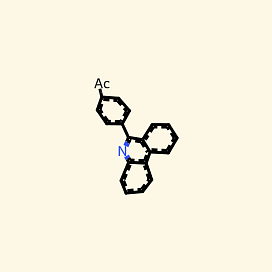 CC(=O)c1ccc(-c2nc3ccccc3c3ccccc23)cc1